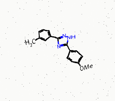 [CH2]c1cccc(-c2n[nH]c(-c3ccc(OC)cc3)n2)c1